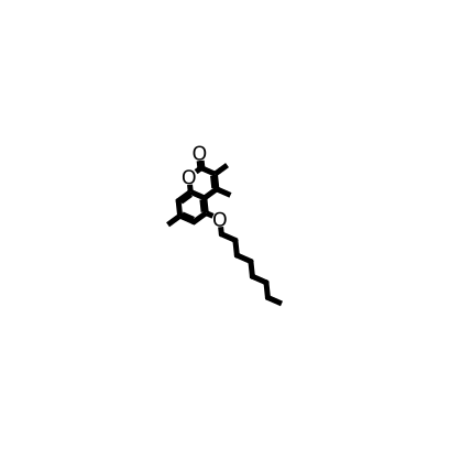 CCCCCCCCOc1cc(C)cc2oc(=O)c(C)c(C)c12